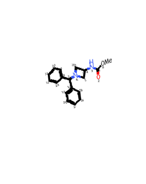 COC(=O)NC1CN(C(c2ccccc2)c2ccccc2)C1